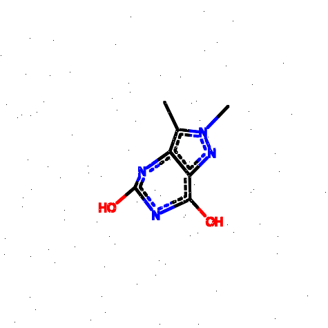 Cc1c2nc(O)nc(O)c2nn1C